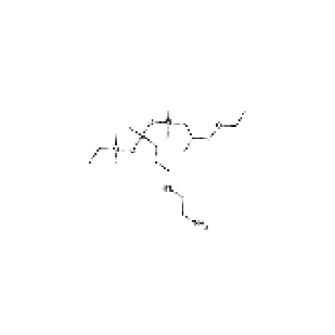 CCOCC(C)C[Si](C)(C)O[Si](C)(CCCNCCN)O[Si](C)(C)CC